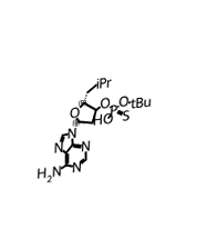 CC(C)C[C@H]1O[C@@H](n2cnc3c(N)ncnc32)CC1OP(O)(=S)OC(C)(C)C